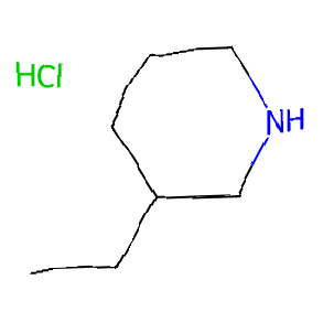 CCC1CCCNC1.Cl